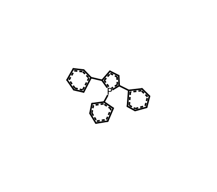 c1ccc(-c2ccc(-c3ccccc3)p2-c2ccccc2)cc1